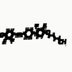 C=CCCCOc1ccc(C2CCC(C#Cc3ccc(C)c(F)c3F)CC2)c(F)c1F